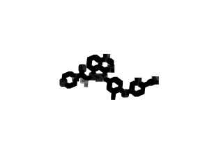 Cc1cc(Nc2ncnc3cccc(O[C@H](C)C(=O)N4CCOCC4)c23)ccc1Oc1ccc(C#N)nc1